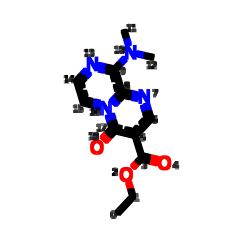 CCOC(=O)c1cnc2c(N(C)C)nccn2c1=O